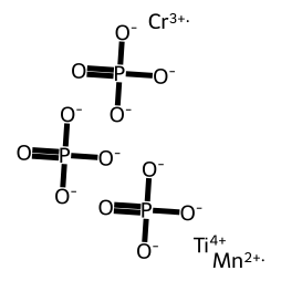 O=P([O-])([O-])[O-].O=P([O-])([O-])[O-].O=P([O-])([O-])[O-].[Cr+3].[Mn+2].[Ti+4]